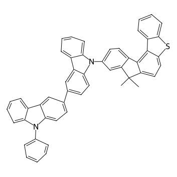 CC1(C)c2cc(-n3c4ccccc4c4cc(-c5ccc6c(c5)c5ccccc5n6-c5ccccc5)ccc43)ccc2-c2c1ccc1sc3ccccc3c21